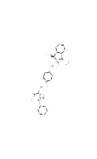 Cc1oc(-c2ccccc2)nc1COc1ccc(CON2C(=O)c3ccccc3C2=O)cc1